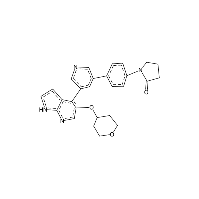 O=C1CCCN1c1ccc(-c2cncc(-c3c(OC4CCOCC4)cnc4[nH]ccc34)c2)cc1